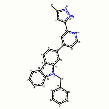 Cc1cc(-c2cc(-c3ccc4c5ccccc5n(Cc5ccccc5)c4c3)ccn2)[nH]n1